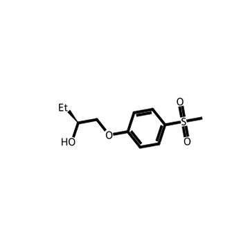 CC[C@H](O)COc1ccc(S(C)(=O)=O)cc1